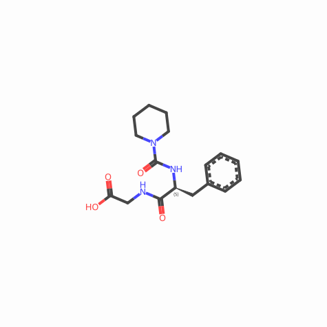 O=C(O)CNC(=O)[C@H](Cc1ccccc1)NC(=O)N1CCCCC1